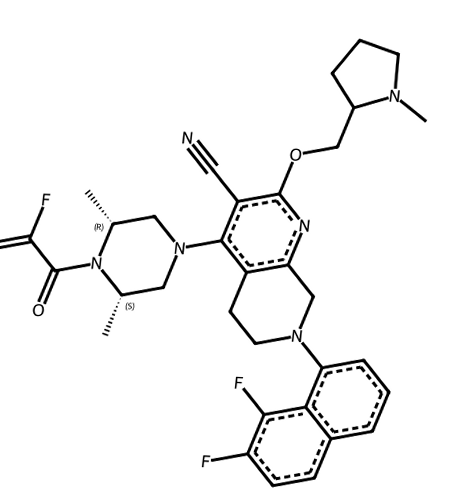 C=C(F)C(=O)N1[C@H](C)CN(c2c(C#N)c(OCC3CCCN3C)nc3c2CCN(c2cccc4ccc(F)c(F)c24)C3)C[C@@H]1C